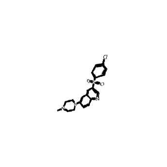 CN1CCN(c2ccc3ncc(S(=O)(=O)c4ccc(Cl)cc4)cc3c2)CC1